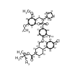 COc1ccc(CN(c2ncns2)S(=O)(=O)c2ccc(OC[C@@H]3CN(C(=O)OC(C)(C)C)CCC3c3ccc(Cl)cc3)c(F)c2)c(OC)c1